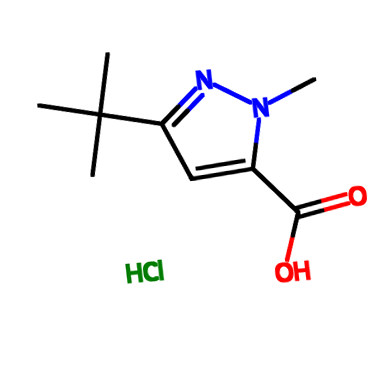 Cl.Cn1nc(C(C)(C)C)cc1C(=O)O